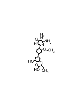 CCOc1cc(-c2cc(O)cc(OC(CC)C(=O)O)c2)ccc1-c1nc(N)c(N)c(=O)[nH]1